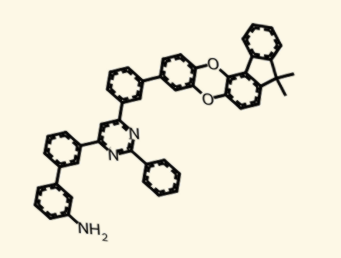 CC1(C)c2ccccc2-c2c1ccc1c2Oc2ccc(-c3cccc(-c4cc(-c5cccc(-c6cccc(N)c6)c5)nc(-c5ccccc5)n4)c3)cc2O1